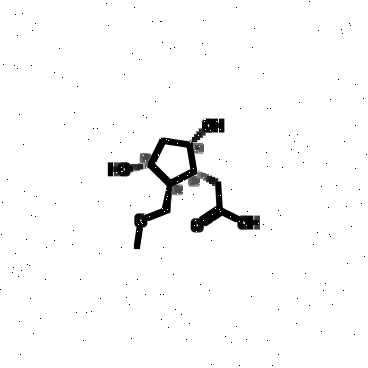 COC[C@@H]1[C@@H](CC(=O)O)[C@@H](O)C[C@H]1O